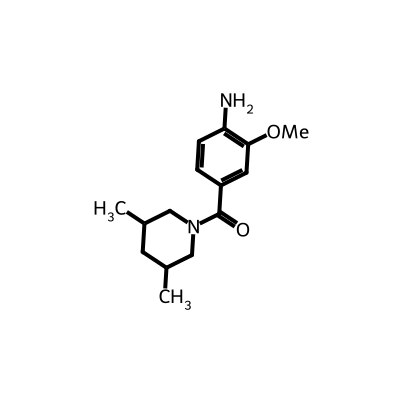 COc1cc(C(=O)N2CC(C)CC(C)C2)ccc1N